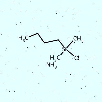 CCCC[Si](C)(C)Cl.N